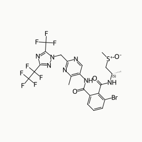 Cc1nc(Cn2nc(C(F)(F)C(F)(F)F)nc2C(F)(F)F)ncc1NC(=O)c1cccc(Br)c1C(=O)N[C@@H](C)C[S+](C)[O-]